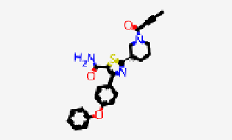 CC#CC(=O)N1CCC[C@@H](c2nc(-c3ccc(Oc4ccccc4)cc3)c(C(N)=O)s2)C1